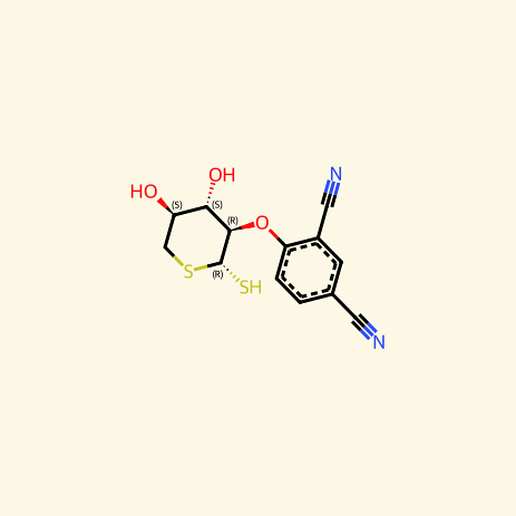 N#Cc1ccc(O[C@@H]2[C@@H](O)[C@H](O)CS[C@H]2S)c(C#N)c1